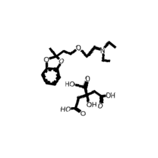 CCN(CC)CCOCCC1(C)Oc2ccccc2O1.O=C(O)CC(O)(CC(=O)O)C(=O)O